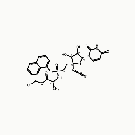 CCOC(=O)[C@H](C)NP(=O)(OC[C@@]1(N=[N+]=[N-])O[C@@H](n2ccc(=O)[nH]c2=O)[C@H](O)[C@@H]1O)Oc1cccc2ccccc12